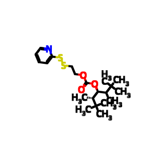 CC([C@H](OC(=O)OCCSSc1ccccn1)[C@@H](C)C(C)(C)C)C(C)(C)C